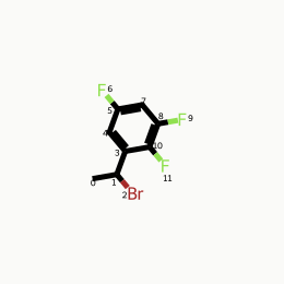 CC(Br)c1cc(F)cc(F)c1F